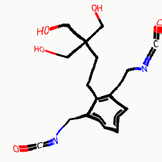 O=C=NCc1cccc(CN=C=O)c1CCC(CO)(CO)CO